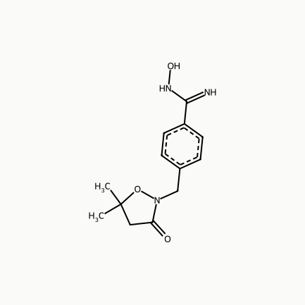 CC1(C)CC(=O)N(Cc2ccc(C(=N)NO)cc2)O1